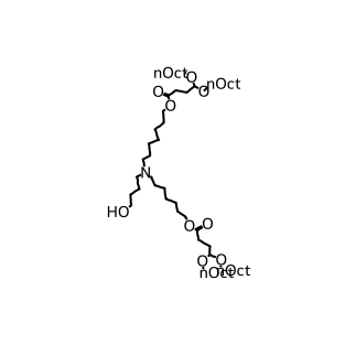 CCCCCCCCOC(CCC(=O)OCCCCCCCN(CCCCO)CCCCCCCOC(=O)CCC(OCCCCCCCC)OCCCCCCCC)OCCCCCCCC